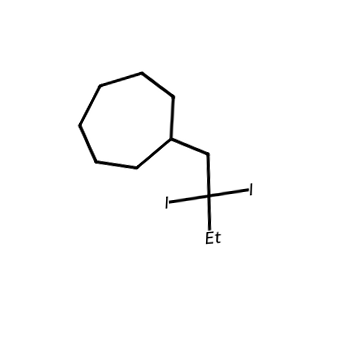 CCC(I)(I)CC1CCCCCC1